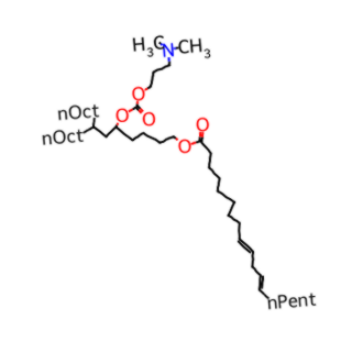 CCCCCC=CCC=CCCCCCCCC(=O)OCCCCC(CC(CCCCCCCC)CCCCCCCC)OC(=O)OCCCN(C)C